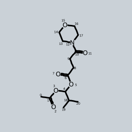 CC(=O)OC(OC(=O)CCC(=O)N1CCOCC1)C(C)C